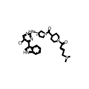 CN(C)CC=CC(=O)N1CCC(C(=O)N2CC[C@@H](Nc3ncc(Cl)c(-c4c[nH]c5ccccc45)n3)C2)CC1